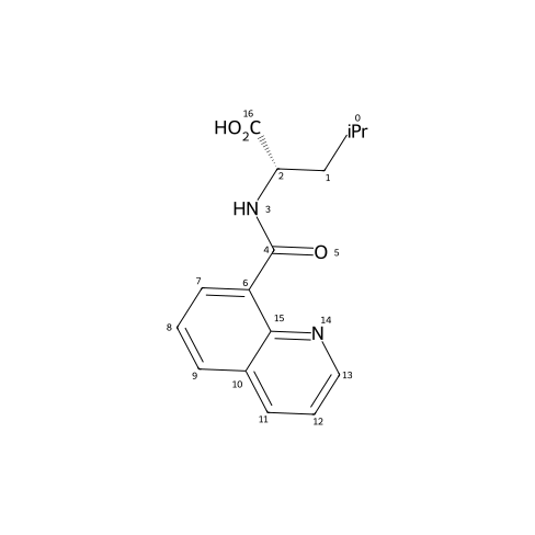 CC(C)C[C@H](NC(=O)c1cccc2cccnc12)C(=O)O